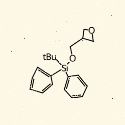 CC(C)(C)[Si](OC[C]1COC1)(c1ccccc1)c1ccccc1